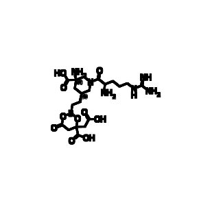 N=C(N)NCCCC(N)C(=O)N1C[C@@H](CCB2OC(=O)CC(CC(=O)O)(C(=O)O)O2)C[C@](N)(C(=O)O)C1